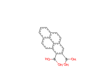 OB(O)c1cc2ccc3cccc4ccc(c1B(O)O)c2c34